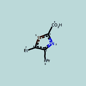 CCCc1nc(C(=O)O)sc1CC